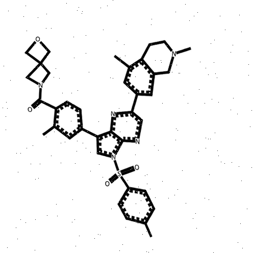 Cc1ccc(S(=O)(=O)n2cc(-c3ccc(C(=O)N4CC5(COC5)C4)c(C)c3)c3nc(-c4cc(C)c5c(c4)CN(C)CC5)cnc32)cc1